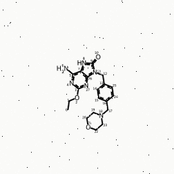 CCOc1nc(N)c2[nH]c(=O)n(Cc3ccc(CN4CCOCC4)cc3)c2n1